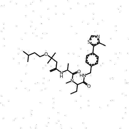 C=C(CC(C)(C)OCCC(C)C)NC(C)C(=O)N(C)C(CC)C(=O)NCc1ccc(-c2scnc2C)cc1